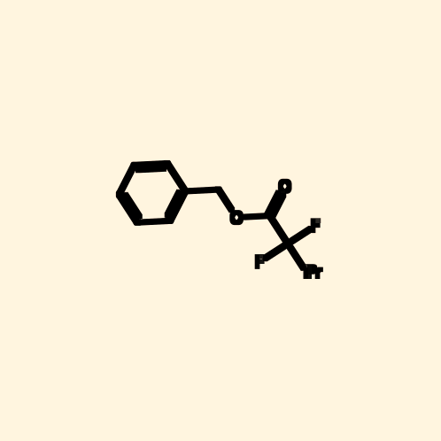 CC(C)C(F)(F)C(=O)OCc1ccccc1